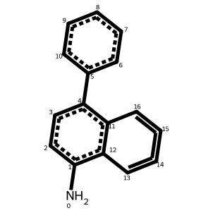 Nc1ccc(-c2ccccc2)c2c1C=C=C=C2